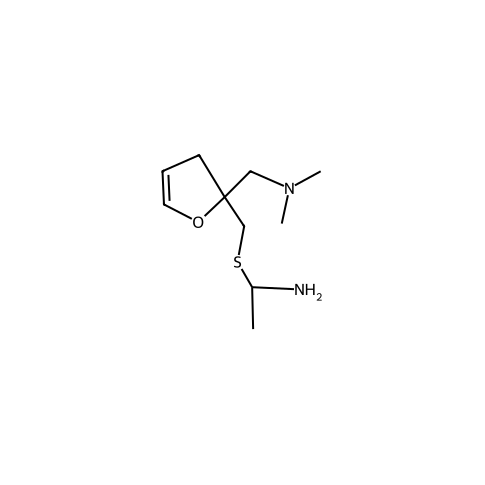 CC(N)SCC1(CN(C)C)CC=CO1